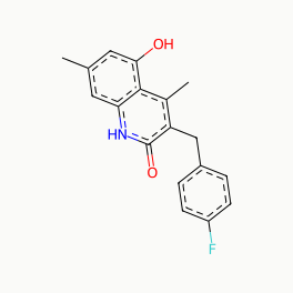 Cc1cc(O)c2c(C)c(Cc3ccc(F)cc3)c(=O)[nH]c2c1